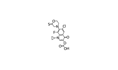 O=C(O)Oc1cn(C2CC2)c2c(F)c(N3CCOC(=S)C3)c(Cl)cc2c1=O